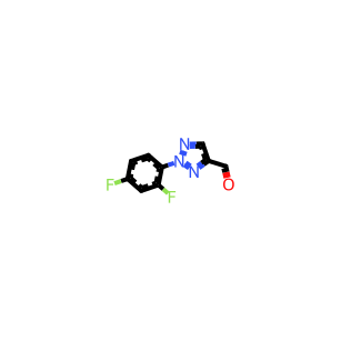 O=Cc1cnn(-c2ccc(F)cc2F)n1